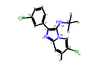 Cc1cc2nc(-c3cccc(Cl)c3)c(NC(C)(C)C)n2cc1Br